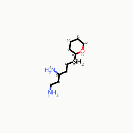 NCCC(N)CC[SiH2]C1CCCCO1